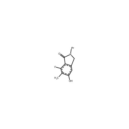 Cc1c(O)cc2c(c1F)C(=O)N(C(C)C)C2